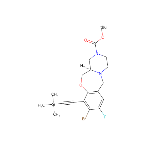 CC(C)(C)OC(=O)N1CCN2Cc3cc(F)c(Br)c(C#C[Si](C)(C)C)c3OC[C@H]2C1